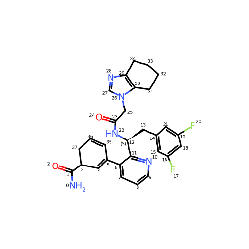 NC(=O)C1C=C(c2cccnc2[C@H](Cc2cc(F)cc(F)c2)NC(=O)Cn2cnc3c2CCCC3)C=CC1